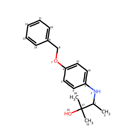 CC(Nc1ccc(OCc2ccccc2)cc1)C(C)(C)O